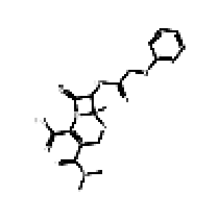 CN(C)C(=O)C1=C(C(=O)O)N2C(=O)C(NC(=O)CSc3ccccc3)[C@@H]2SC1